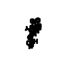 CC(C)=CCn1c(N2CCCC(NC(=O)OC(C)(C)C)C2)nc2c1c(=O)n(CC(=O)c1ccccc1[N+](=O)[O-])c(=O)n2C